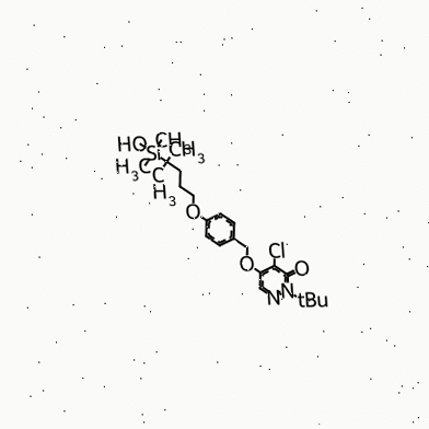 CC(C)(C)n1ncc(OCc2ccc(OCCCC(C)(C)[Si](C)(C)O)cc2)c(Cl)c1=O